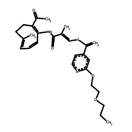 C=C(S/C=C(\C)C(=O)NC1=C(\C(C)=O)CC/C(C)=C/C=C\1)c1ccnc(OCCOCCC)c1